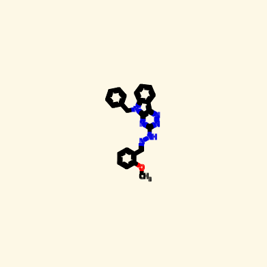 COc1ccccc1C=NNc1nnc2c3ccccc3n(Cc3ccccc3)c2n1